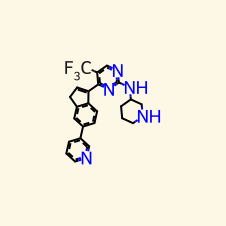 FC(F)(F)c1cnc(NC2CCCNC2)nc1C1=CCc2cc(-c3cccnc3)ccc21